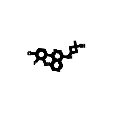 CC1(O)CC(Nc2nnc(-c3ccc(Cl)c(F)c3O)c3ccncc23)C1